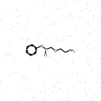 NCCOCP(Cl)Oc1ccccc1